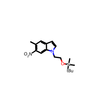 Cc1cc2ccn(CCO[Si](C)(C)C(C)(C)C)c2cc1[N+](=O)[O-]